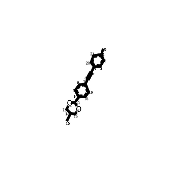 Cc1ccc(C#Cc2ccc(C3OCC(C)CO3)cc2)cc1